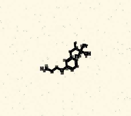 CCC(O)(C(C)C)C(C)Cc1cccc(OCCN)c1